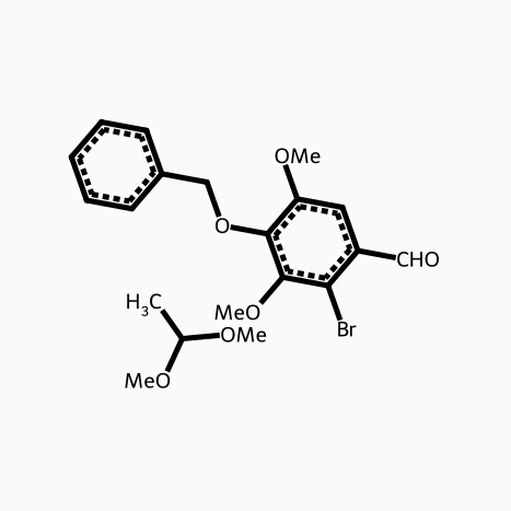 COC(C)OC.COc1cc(C=O)c(Br)c(OC)c1OCc1ccccc1